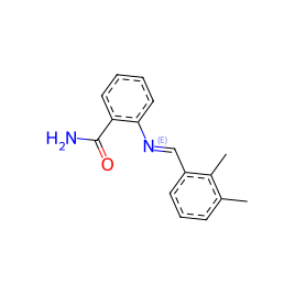 Cc1cccc(/C=N/c2ccccc2C(N)=O)c1C